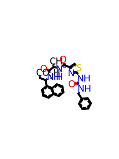 C[C@H](NC(=O)c1csc(NC(=O)NCc2ccccc2)n1)C(=O)NC(CC(=O)O)c1cccc2ccccc12